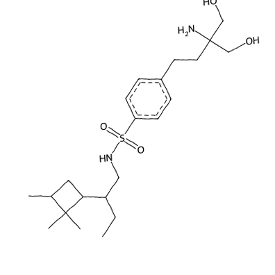 CCC(CNS(=O)(=O)c1ccc(CCC(N)(CO)CO)cc1)C1CC(C)C1(C)C